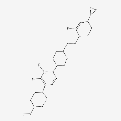 C=CC1CCC(c2ccc(C3CCC(CCC4CCC(C5CO5)C=C4F)CC3)c(F)c2F)CC1